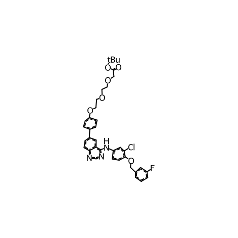 CC(C)(C)OC(=O)COCCOCCOc1ccc(-c2ccc3ncnc(Nc4ccc(OCc5cccc(F)c5)c(Cl)c4)c3c2)cc1